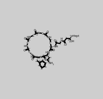 CCCCCCC[C@@H](O)CC(=O)NCC(=O)N[C@H]1CCNC(=O)CNC(=O)CNC(=O)CNC(=O)CNC(=O)[C@@H](Cc2ccccc2)NC(=O)[C@H](CCN)NC1=O